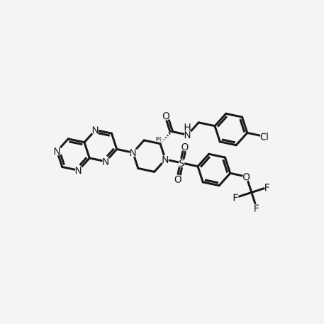 O=C(NCc1ccc(Cl)cc1)[C@H]1CN(c2cnc3cncnc3n2)CCN1S(=O)(=O)c1ccc(OC(F)(F)F)cc1